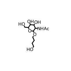 CC(=O)NC1C(OCCCCO)OC(CO)C(O)C1O